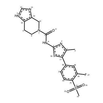 Cc1nc(NC(=O)N2CCc3[nH]cnc3C2)sc1-c1ccc(S(C)(=O)=O)c(F)c1